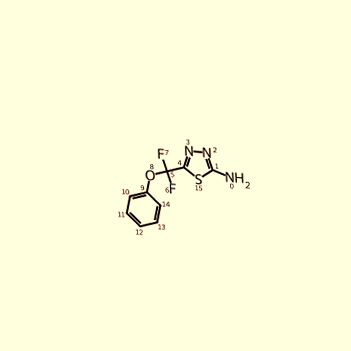 Nc1nnc(C(F)(F)Oc2ccccc2)s1